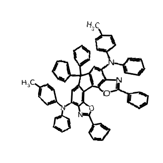 Cc1ccc(N(c2ccccc2)c2cc3c(c4oc(-c5ccccc5)nc24)-c2c(cc(N(c4ccccc4)c4ccc(C)cc4)c4nc(-c5ccccc5)oc24)C3(c2ccccc2)c2ccccc2)cc1